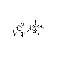 CC(C)(C)OC(=O)NC1CCCC(Nc2cc(Cl)nnc2C(F)(F)F)C1